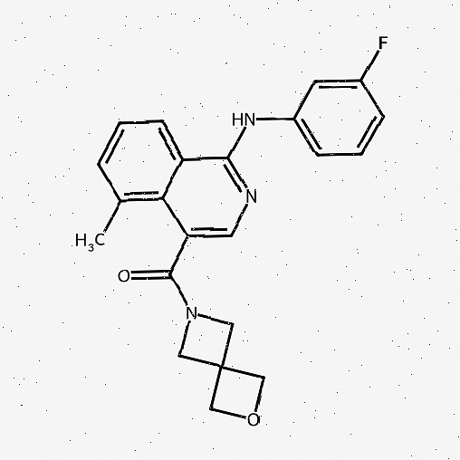 Cc1cccc2c(Nc3cccc(F)c3)ncc(C(=O)N3CC4(COC4)C3)c12